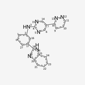 c1cc(Nc2ncc(-c3cccnn3)cn2)cc(-c2nc3ccccc3[nH]2)c1